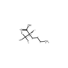 CCCC[C@@](F)(C(=O)O)C(F)(F)F